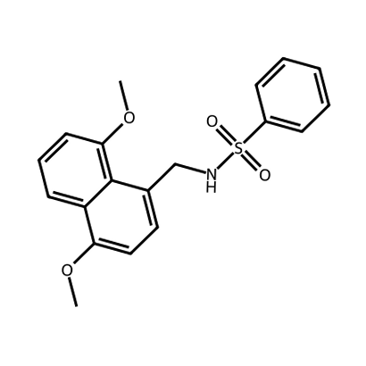 COc1ccc(CNS(=O)(=O)c2ccccc2)c2c(OC)cccc12